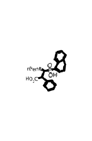 CCCCCC(C(C(=O)O)c1ccccc1)P(=O)(O)c1cccc2ccccc12